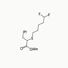 COC(=O)C(CC(C)C)SCCCCC(F)F